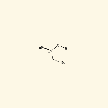 CCC[C@H](CC(C)CC)OCC